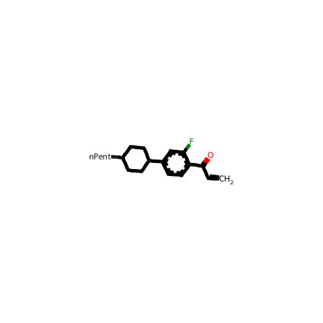 C=CC(=O)c1ccc(C2CCC(CCCCC)CC2)cc1F